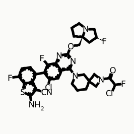 N#Cc1c(N)sc2c(F)ccc(-c3c(Cl)cc4c(N5CCCC6(CN(C(=O)C(F)Cl)C6)C5)nc(OC[C@@]56CCCN5C[C@H](F)C6)nc4c3F)c12